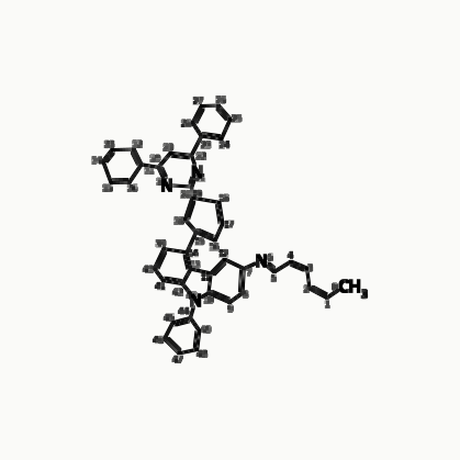 C\C=C/C=C\C=N\c1ccc2c(c1)c1c(-c3cccc(-c4nc(-c5ccccc5)cc(-c5ccccc5)n4)c3)cccc1n2-c1ccccc1